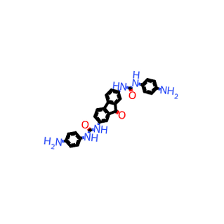 Nc1ccc(NC(=O)Nc2ccc3c(c2)C(=O)c2cc(NC(=O)Nc4ccc(N)cc4)ccc2-3)cc1